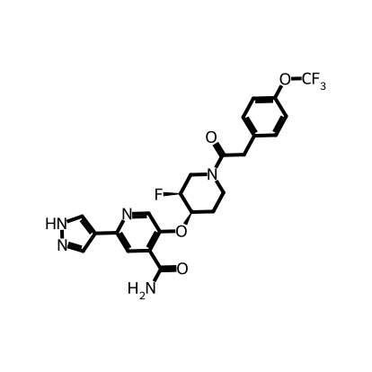 NC(=O)c1cc(-c2cn[nH]c2)ncc1O[C@@H]1CCN(C(=O)Cc2ccc(OC(F)(F)F)cc2)C[C@@H]1F